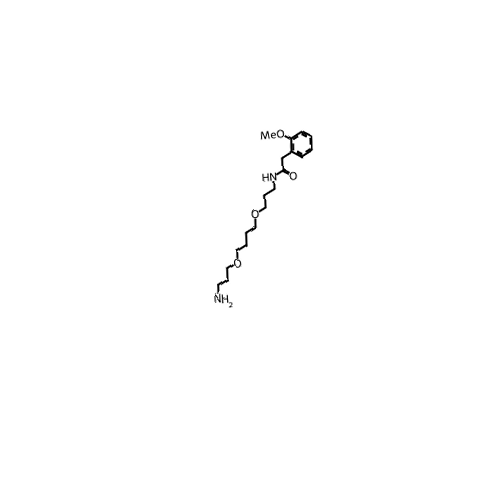 COc1ccccc1CC(=O)NCCCOCCCCOCCCN